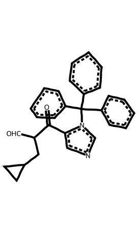 O=CC(CC1CC1)C(=O)c1cncn1C(c1ccccc1)(c1ccccc1)c1ccccc1